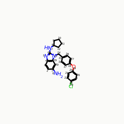 Nc1ccc2nc(NC3CCCC3)n(Cc3ccc(Oc4ccc(Cl)cc4)cc3)c2c1